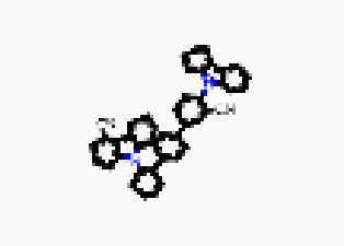 N#Cc1cc(-c2ccc(-c3ccccc3-n3c4ccccc4c4c(C#N)cccc43)cc2)ccc1-n1c2ccccc2c2ccccc21